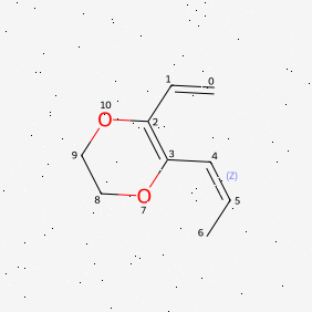 C=CC1=C(/C=C\C)OCCO1